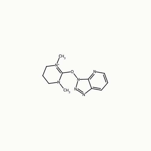 CN1CCC[N+](C)=C1On1nnc2cccnc21